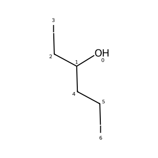 OC(CI)CCI